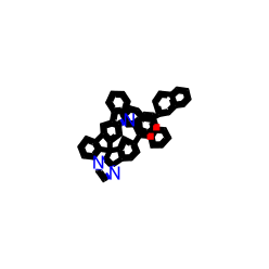 c1ccc(-n2c3ccccc3c3cc4c(cc32)C2(c3ccccc3-4)c3cc(-c4c5ccccc5c(-c5ccc6ccccc6c5)c5ccccc45)ccc3-c3nccnc32)cc1